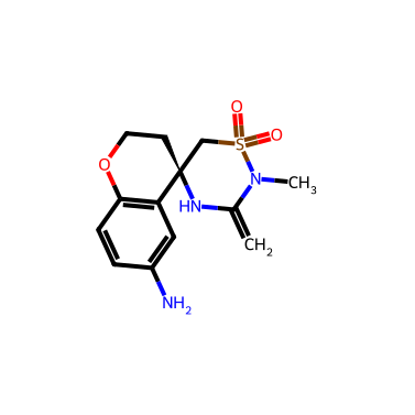 C=C1N[C@@]2(CCOc3ccc(N)cc32)CS(=O)(=O)N1C